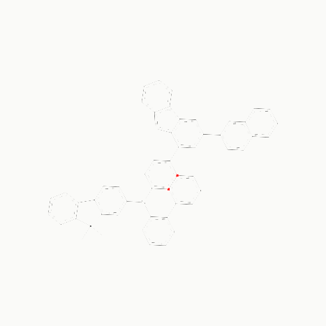 CC1(C)c2ccccc2-c2ccc(N(c3ccc(-c4cc(-c5ccc6ccccc6c5)cc5c4oc4ccccc45)cc3)c3ccccc3-c3ccccc3)cc21